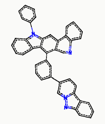 c1ccc(-n2c3ccccc3c3c(-c4cccc(-c5ccc6c7ccccc7nn6c5)c4)c4cnc5ccccc5c4cc32)cc1